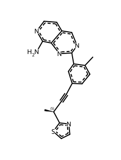 Cc1ccc(C#C[C@H](C)c2nccs2)cc1-c1ncc2ccnc(N)c2n1